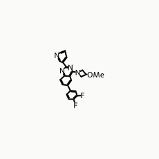 COC1CN(c2nc(-c3cccnc3)nc3ccc(-c4ccc(F)c(F)c4)cc23)C1